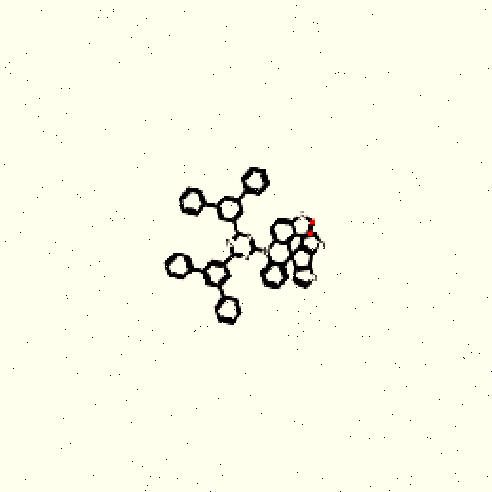 c1ccc(-c2cc(-c3ccccc3)cc(-c3nc(-c4cc(-c5ccccc5)cc(-c5ccccc5)c4)nc(N4c5ccccc5C5(c6ccoc6-c6occc65)c5c4ccc4sc6ccccc6c54)n3)c2)cc1